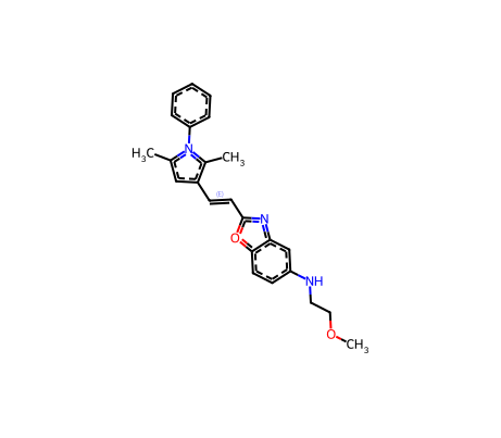 COCCNc1ccc2oc(/C=C/c3cc(C)n(-c4ccccc4)c3C)nc2c1